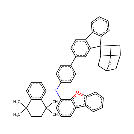 CC1(C)CCC(C)(C)c2c(N(c3ccc(-c4ccc5c(c4)C4(c6ccccc6-5)C5CC6CC7CC4C75C6)cc3)c3cccc4c3oc3ccccc34)cccc21